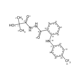 CC(C)(O)C(=O)NNC(=O)c1ccccc1Nc1ccc(C(F)(F)F)cc1